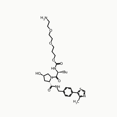 Cc1ncsc1-c1ccc(CNC(=O)[C@@H]2C[C@@H](O)CN2C(=O)[C@@H](NC(=O)OCCCOCCOCCN)C(C)(C)C)cc1